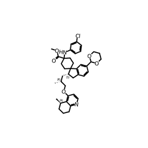 COC(=O)C1(Nc2cccc(Cl)c2)CCC2(CC1)c1cc(C3OCCCO3)ccc1C[C@@H]2C[C@@H](C)COc1ccnc2c1[C@H](C)CCC2